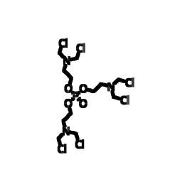 O=P(OCCN(CCl)CCl)(OCCN(CCl)CCl)OCCN(CCl)CCl